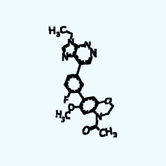 CCn1cnc2c(-c3ccc(F)c(-c4cc5c(cc4OC)N(C(C)=O)CCO5)c3)cnnc21